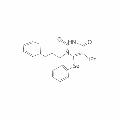 CC(C)c1c([Se]c2ccccc2)n(CCCc2ccccc2)c(=O)[nH]c1=O